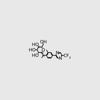 Cc1cc(-c2cnc(C(F)(F)F)cn2)ccc1[C@@H](C)[C@H]1OC(CO)[C@@H](O)C(O)C1O